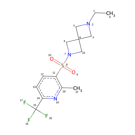 CCN1CC2(C1)CN(S(=O)(=O)c1ccc(C(F)(F)F)nc1C)C2